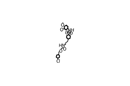 COc1ccc(NS(=O)(=O)c2ccc(CCCNC(=O)COCc3ccc(Cl)cc3)cc2)cc1OC